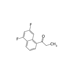 CCC(=O)c1cccc2c(F)cc(F)cc12